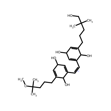 COC(C)(C)CCCC1=CC(O)C=C(/C=C\C2=CC(O)C=C(CCCC(C)(C)CO)C2O)C1O